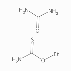 CCOC(N)=S.NC(N)=O